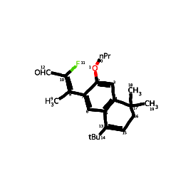 CCCOc1cc2c(cc1C(C)=C(F)C=O)C(C(C)(C)C)=CCC2(C)C